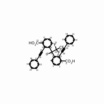 O=C(O)c1cccc(C(F)(c2cccc(C(=O)O)c2C#Cc2ccccc2)C(F)(F)C(F)(F)F)c1C#Cc1ccccc1